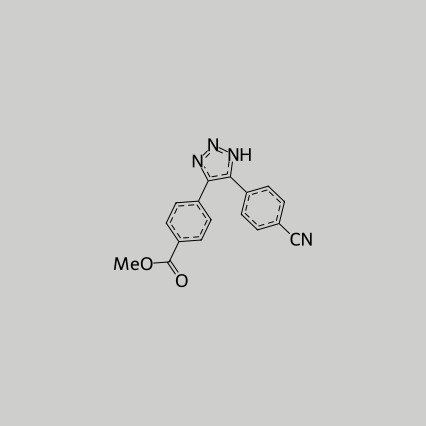 COC(=O)c1ccc(-c2nn[nH]c2-c2ccc(C#N)cc2)cc1